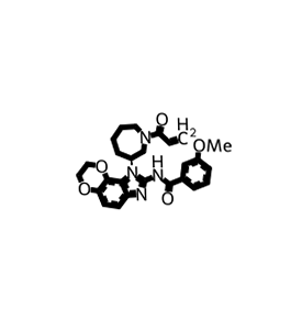 C=CC(=O)N1CCCC[C@@H](n2c(NC(=O)c3cccc(OC)c3)nc3ccc4c(c32)OCCO4)C1